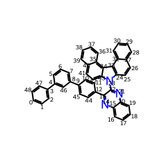 c1ccc(-c2cccc(-c3ccc(-c4nc5ccccc5nc4-n4c5ccc6ccccc6c5c5c6ccccc6ccc54)cc3)c2)cc1